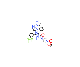 C[C@H](Nc1nccc(-n2cc(C(=O)NC3CCN(C(=O)OC(C)(C)C)CC3)nc2-c2cccc(C(F)(F)F)c2)n1)c1ccccc1